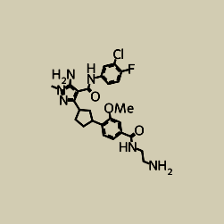 COc1cc(C(=O)NCCN)ccc1C1CCC(c2nn(C)c(N)c2C(=O)Nc2ccc(F)c(Cl)c2)C1